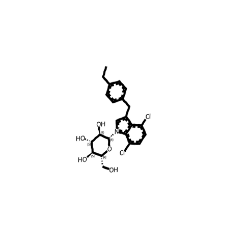 CCc1ccc(Cc2cn([C@@H]3O[C@H](CO)[C@@H](O)[C@H](O)[C@H]3O)c3c(Cl)ccc(Cl)c23)cc1